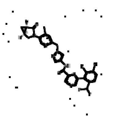 Cc1cc(Cn2cc(NC(=O)c3cncc(-c4c(C(F)F)ccc(Cl)c4F)n3)cn2)ncc1N1C[C@H]2C[C@H]2C1=O